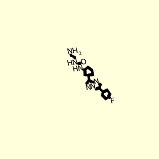 NCCNC(=O)Nc1cccc(-c2cnn3cc(-c4ccc(F)cc4)cnc23)c1